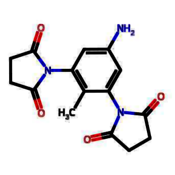 Cc1c(N2C(=O)CCC2=O)cc(N)cc1N1C(=O)CCC1=O